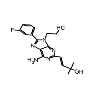 CCCn1c(-c2cccc(F)c2)nc2c(N)nc(C=CC(C)(C)O)nc21.Cl